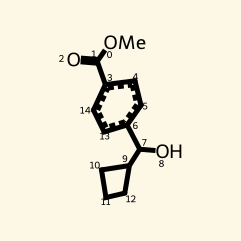 COC(=O)c1ccc(C(O)C2CCC2)cc1